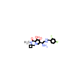 CN1C(=O)c2c(O)c(=O)c(/C(N)=C/NCc3ccc(F)cc3F)cn2CC12CCC2